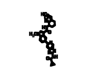 C#C/C=C1/CCCC(NC(=O)c2cn(C)c3ccc(-c4cc5nc(NC(=O)C6CC6)nn5cn4)cc23)/C1=N/C